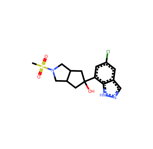 CS(=O)(=O)N1CC2CC(O)(c3cc(Cl)cc4cn[nH]c34)CC2C1